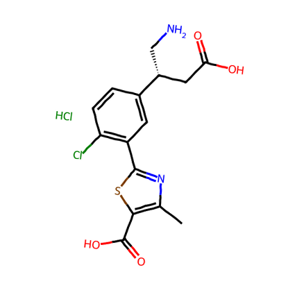 Cc1nc(-c2cc([C@H](CN)CC(=O)O)ccc2Cl)sc1C(=O)O.Cl